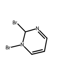 BrC1N=CC=CN1Br